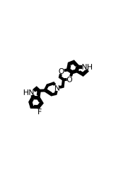 Fc1ccc2[nH]cc(C3=CCN(CC4COc5ccc6[nH]ccc6c5O4)CC3)c2c1